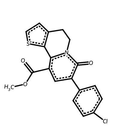 COC(=O)c1cc(-c2ccc(Cl)cc2)c(=O)n2c1-c1sccc1CC2